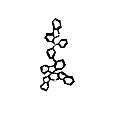 c1ccc(N(c2cccc(-c3cccc4c3-c3ccccc3C43c4ccc5ccccc5c4Oc4c3ccc3ccccc43)c2)c2cccc3c2sc2ccccc23)cc1